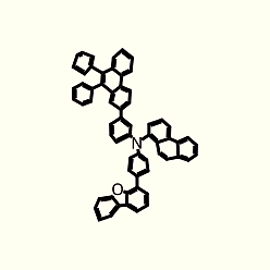 c1ccc(-c2c(-c3ccccc3)c3cc(-c4cccc(N(c5ccc(-c6cccc7c6oc6ccccc67)cc5)c5cccc6c5ccc5ccccc56)c4)ccc3c3ccccc23)cc1